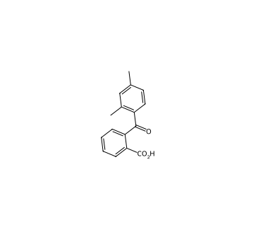 Cc1ccc(C(=O)c2ccccc2C(=O)O)c(C)c1